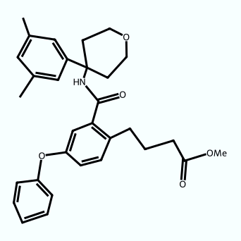 COC(=O)CCCc1ccc(Oc2ccccc2)cc1C(=O)NC1(c2cc(C)cc(C)c2)CCOCC1